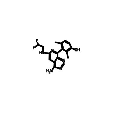 Cc1ccc(O)c(C)c1-c1nc(NCC(F)F)cc2c(N)ncnc12